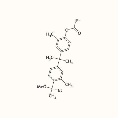 CC[C@](C)(OC)c1ccc(C(C)(C)c2ccc(OC(=O)C(C)C)c(C)c2)cc1C